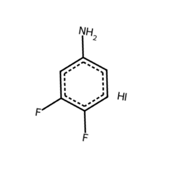 I.Nc1ccc(F)c(F)c1